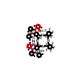 Cc1cccc(C)c1Nc1c(Nc2c(C)cccc2C)c(Nc2c(C)cccc2C)c2c(c1Nc1c(C)cccc1C)-c1nc-2nc2[nH]c(nc3nc(nc4[nH]c(n1)c1c(F)c(F)c(F)c(F)c41)-c1c(F)c(F)c(F)c(F)c1-3)c1c(Nc3c(C)cccc3C)c(Nc3c(C)cccc3C)c(Nc3c(C)cccc3C)c(Nc3c(C)cccc3C)c21